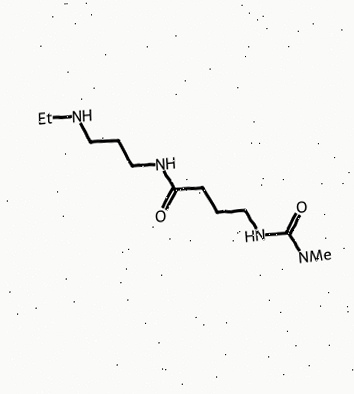 CCNCCCNC(=O)CCCNC(=O)NC